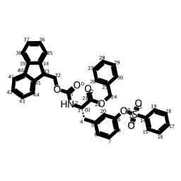 O=C(N[C@@H](Cc1cccc(OS(=O)(=O)c2ccccc2)c1)C(=O)OCc1ccccc1)OCC1c2ccccc2-c2ccccc21